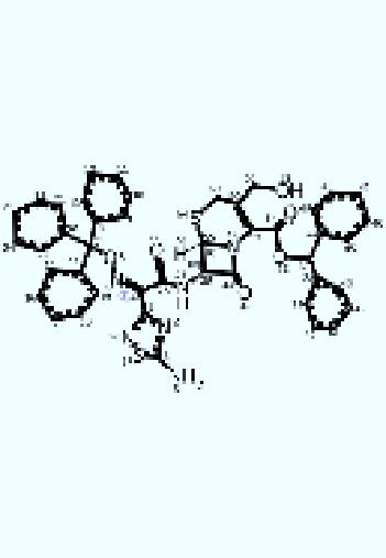 Nc1nc(/C(=N/OC(c2ccccc2)(c2ccccc2)c2ccccc2)C(=O)N[C@@H]2C(=O)N3C(C(=O)OC(c4ccccc4)c4ccccc4)=C(CO)CS[C@H]23)ns1